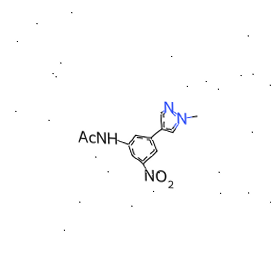 CC(=O)Nc1cc(-c2cnn(C)c2)cc([N+](=O)[O-])c1